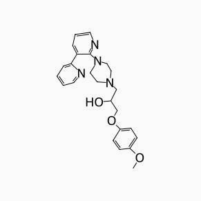 COc1ccc(OCC(O)CN2CCN(c3ncccc3-c3ccccn3)CC2)cc1